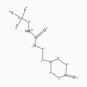 O=C1CCC(CCOC(=O)NCC(F)(F)F)CC1